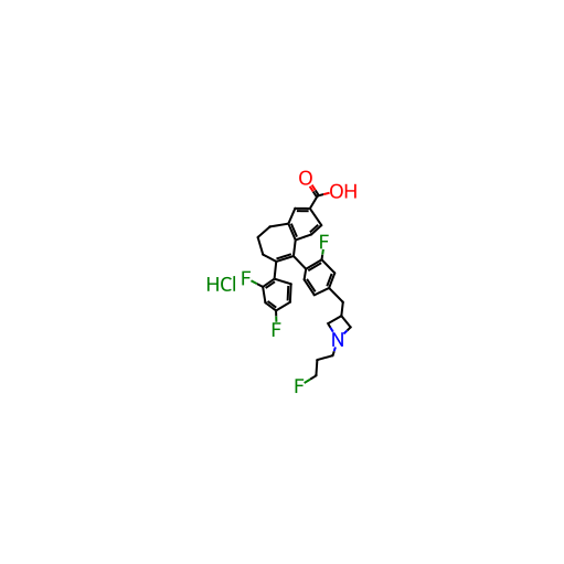 Cl.O=C(O)c1ccc2c(c1)CCCC(c1ccc(F)cc1F)=C2c1ccc(CC2CN(CCCF)C2)cc1F